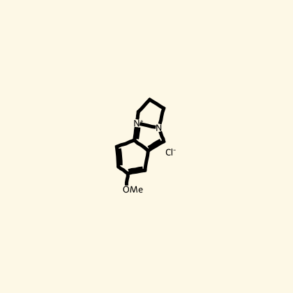 COc1ccc2c(c1)cn1[n+]2CCC1.[Cl-]